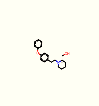 OC[C@@H]1CCCCN1CCc1ccc(Oc2ccccc2)cc1